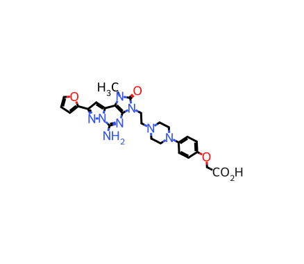 Cn1c(=O)n(CCN2CCN(c3ccc(OCC(=O)O)cc3)CC2)c2nc(N)n3nc(-c4ccco4)cc3c21